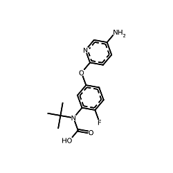 CC(C)(C)N(C(=O)O)c1cc(Oc2ccc(N)cn2)ccc1F